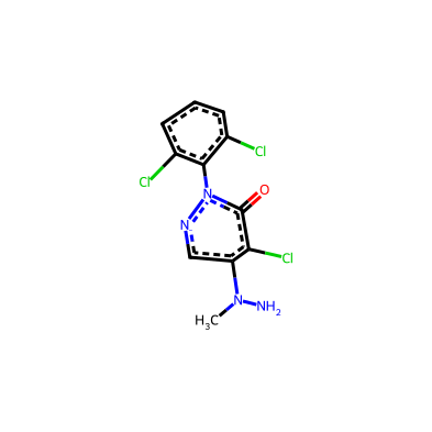 CN(N)c1cnn(-c2c(Cl)cccc2Cl)c(=O)c1Cl